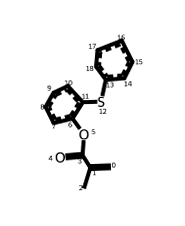 C=C(C)C(=O)Oc1ccccc1Sc1ccccc1